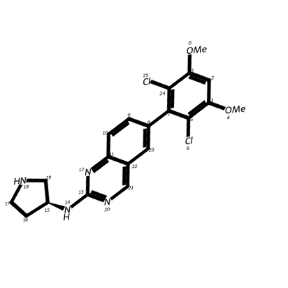 COc1cc(OC)c(Cl)c(-c2ccc3nc(N[C@H]4CCNC4)ncc3c2)c1Cl